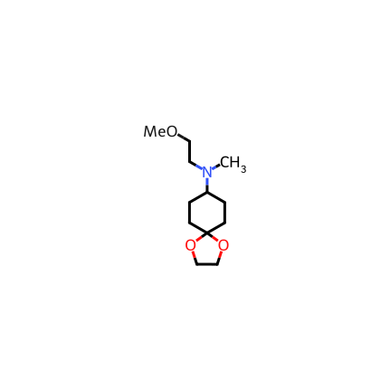 COCCN(C)C1CCC2(CC1)OCCO2